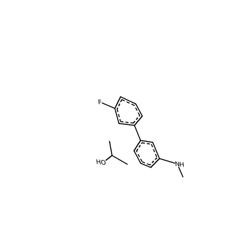 CC(C)O.CNc1cccc(-c2cccc(F)c2)c1